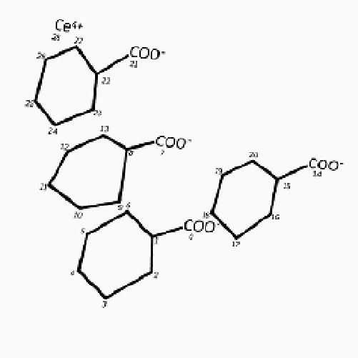 O=C([O-])C1CCCCC1.O=C([O-])C1CCCCC1.O=C([O-])C1CCCCC1.O=C([O-])C1CCCCC1.[Ce+4]